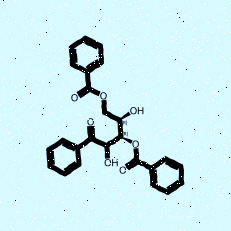 O=C(OC[C@@H](O)[C@@H](OC(=O)c1ccccc1)C(O)C(=O)c1ccccc1)c1ccccc1